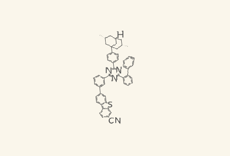 C[C@@H]1C[C@@H]2C[C@H](C)CC(c3ccc(-c4nc(-c5cccc(-c6ccc7c(c6)sc6cc(C#N)ccc67)c5)nc(-c5ccccc5-c5ccccc5)n4)cc3)(C1)C2